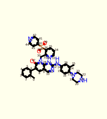 Cc1ccccc1-c1cc2cnc(Nc3ccc(N4CCNCC4)c(C)c3)nc2n(Cc2ncccc2S(=O)(=O)c2ccncc2)c1=O